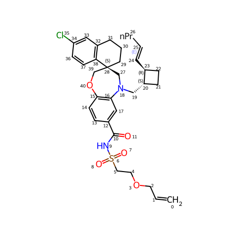 C=CCOCCS(=O)(=O)NC(=O)c1ccc2c(c1)N(C[C@H]1CC[C@@H]1/C=C/CCC)C[C@@]1(CCCc3cc(Cl)ccc31)CO2